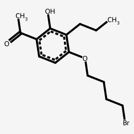 CCCc1c(OCCCCBr)ccc(C(C)=O)c1O